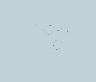 CCOc1ccc(-c2c(Cl)ncn2-c2ccc(S(C)(=O)=O)cc2)cn1